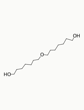 OCCCCCCCOCCCCCCCO